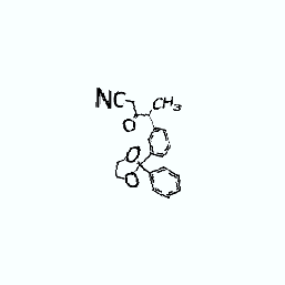 CC(C(=O)CC#N)c1cccc(C2(c3ccccc3)OCCO2)c1